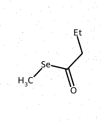 CCCC(=O)[Se]C